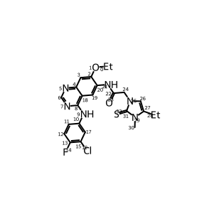 CCOc1cc2ncnc(Nc3ccc(F)c(Cl)c3)c2cc1NC(=O)Cn1cc(CC)n(C)c1=S